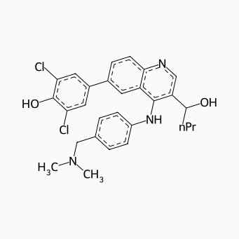 CCCC(O)c1cnc2ccc(-c3cc(Cl)c(O)c(Cl)c3)cc2c1Nc1ccc(CN(C)C)cc1